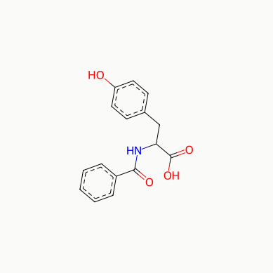 O=C(NC(Cc1ccc(O)cc1)C(=O)O)c1ccccc1